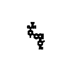 CC(=O)N1CCN(c2nncc3cc(-c4cc(C(=O)NC5CC5)ccc4C)ccc23)[C@@H](C)C1